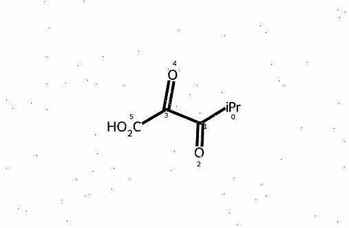 CC(C)C(=O)C(=O)C(=O)O